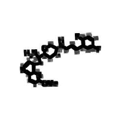 COc1ccc2nccc(CC(N)[C@@H]3CC[C@@H](NC/C=C/c4cc(F)ccc4F)CO3)c2n1